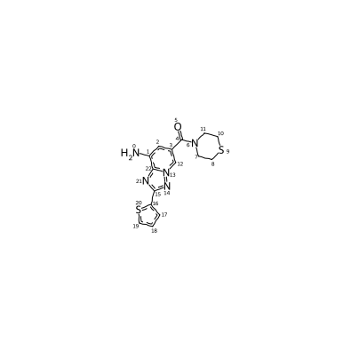 Nc1cc(C(=O)N2CCSCC2)cn2nc(-c3cccs3)nc12